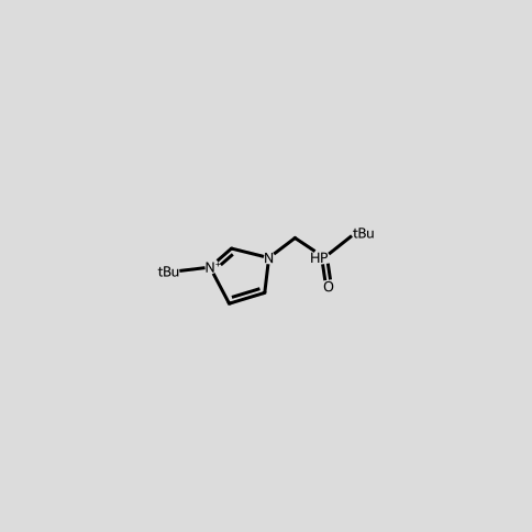 CC(C)(C)[n+]1ccn(C[PH](=O)C(C)(C)C)c1